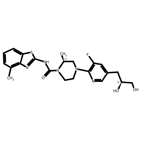 Cc1cccc2sc(NC(=O)N3CCN(c4ncc(C[C@H](O)CO)cc4F)C[C@@H]3C)nc12